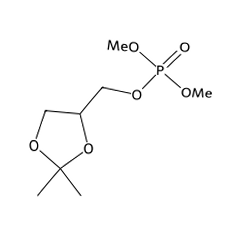 COP(=O)(OC)OCC1COC(C)(C)O1